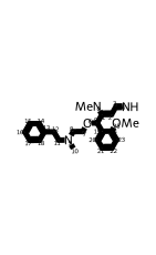 CN/C(=C\C=N)C(OCCN(C)CCc1ccccc1)c1ccccc1OC